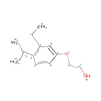 CCc1cc(OCCO)ccc1C(C)C